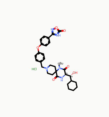 CCCCN1C(=O)[C@@H]([C@H](O)C2CCCCC2)NC(=O)C12CCN(Cc1ccc(Oc3ccc(-c4noc(=O)[nH]4)cc3)cc1)CC2.Cl